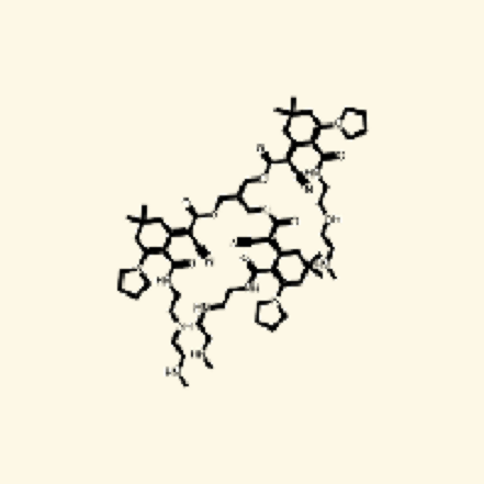 CNCCNCCNC(=O)C1=C(N2CCCC2)CC(C)(C)C/C1=C(/C#N)C(=O)OCC(COC(=O)/C(C#N)=C1\CC(C)(C)CC(N2CCCC2)=C1C(=O)NCCNCCNC)COC(=O)/C(C#N)=C1\CC(C)(C)CC(N2CCCC2)=C1C(=O)NCCNCCNC